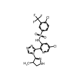 CC1CNN=C1n1cnnc1-c1ncc(Cl)cc1NS(=O)(=O)c1ccc(Cl)c(C(F)(F)F)c1